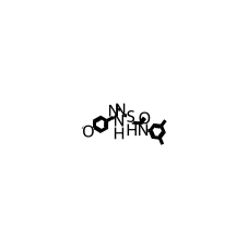 COc1ccc(-c2nnc(SCC(=O)Nc3cc(C)cc(C)c3)[nH]2)cc1